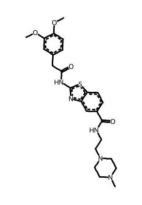 COc1ccc(CC(=O)Nc2nc3cc(C(=O)NCCN4CCN(C)CC4)ccc3s2)cc1OC